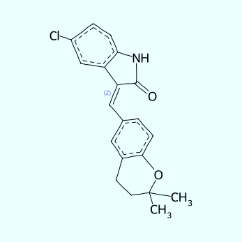 CC1(C)CCc2cc(/C=C3\C(=O)Nc4ccc(Cl)cc43)ccc2O1